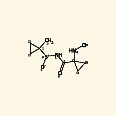 CC1([S+]([O-])NC(=O)C2(NCl)CC2)CC1